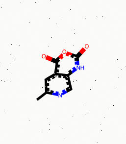 Cc1cc2c(=O)oc(=O)[nH]c2cn1